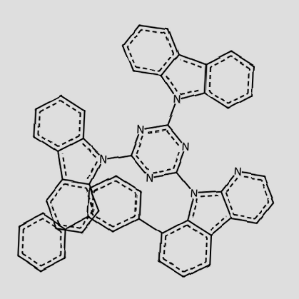 c1ccc(-c2cccc(-c3cccc4c5cccnc5n(-c5nc(-n6c7ccccc7c7ccccc76)nc(-n6c7ccccc7c7ccccc76)n5)c34)c2)cc1